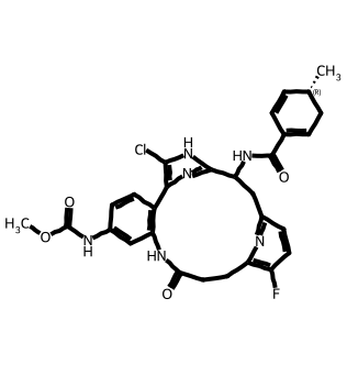 COC(=O)Nc1ccc2c(c1)NC(=O)CCc1nc(ccc1F)CC(NC(=O)C1=CC[C@@H](C)C=C1)c1nc-2c(Cl)[nH]1